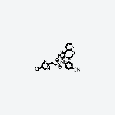 N#Cc1cccc([C@H]2COc3ncccc3-c3nnc(NS(=O)(=O)CCc4ncc(Cl)cn4)n32)c1